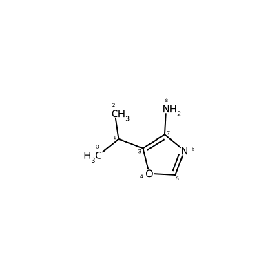 CC(C)c1ocnc1N